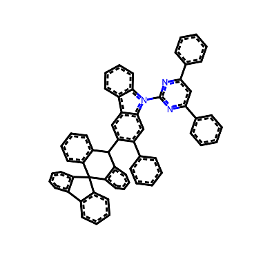 c1ccc(-c2cc(-c3ccccc3)nc(-n3c4ccccc4c4cc(C5c6ccccc6C6(c7ccccc7-c7ccccc76)c6ccccc65)c(-c5ccccc5)cc43)n2)cc1